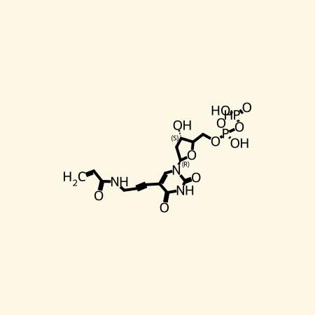 C=CC(=O)NCC#Cc1cn([C@H]2C[C@H](O)C(COP(=O)(O)O[PH](=O)O)O2)c(=O)[nH]c1=O